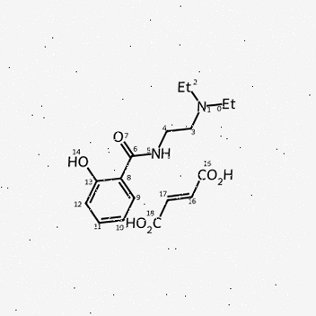 CCN(CC)CCNC(=O)c1ccccc1O.O=C(O)/C=C/C(=O)O